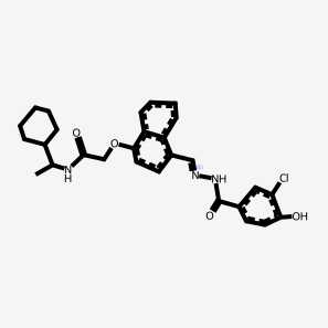 CC(NC(=O)COc1ccc(/C=N/NC(=O)c2ccc(O)c(Cl)c2)c2ccccc12)C1CCCCC1